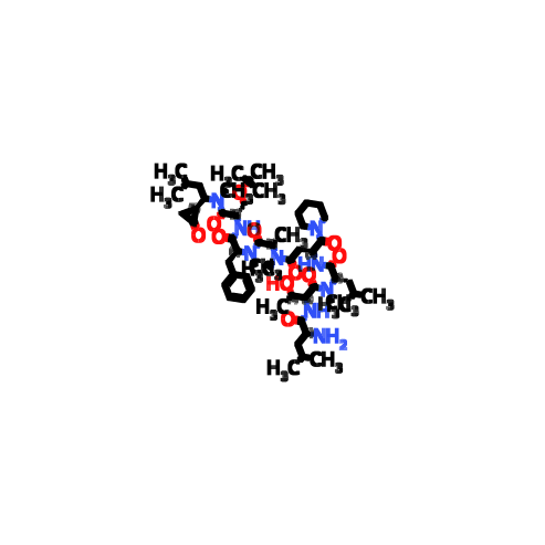 CC(C)CC([C@@H]1CC1=O)N(C)C(=O)[C@H](COC(C)(C)C)NC(=O)[C@H](Cc1ccccc1)N(C)C(=O)[C@H](C)N(C)C(=O)C[C@H](NC(=O)[C@H](CC(C)C)N(C)C(=O)[C@@H](NC(=O)[C@@H](N)CC(C)C)[C@@H](C)O)C(=O)N1CCCCC1